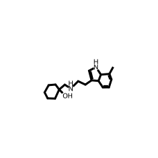 CC1=CC=CC2C(CCNCC3(O)CCCCC3)=CNC12